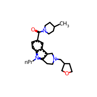 CCCn1c2c(c3cc(C(=O)N4CCC(C)CC4)ccc31)CN(CC1CCOC1)CC2